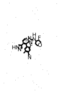 Cc1cc(-c2c(-c3cn[nH]c3)ccn3nc(N[C@H]4CCOC[C@H]4F)nc23)c(F)cc1C#N